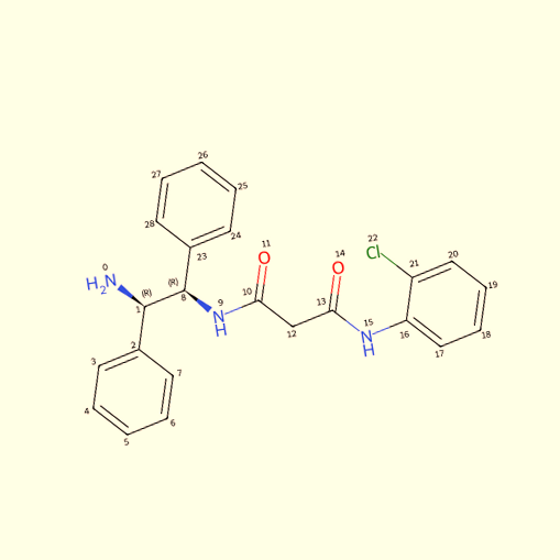 N[C@H](c1ccccc1)[C@H](NC(=O)CC(=O)Nc1ccccc1Cl)c1ccccc1